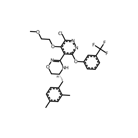 COCCOc1c(Cl)nnc(Oc2cccc(C(F)(F)F)c2)c1C1=NOC[C@@H](Cc2ccc(C)cc2C)N1